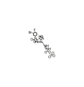 O=C(NSNCCNc1nonc1-c1noc(=O)n1-c1ccc(F)c(Br)c1)OCC(Cl)(Cl)Cl